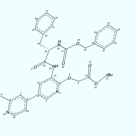 Cc1cc(-c2cnc(OCC(=O)OC(C)(C)C)c(NC(=O)[C@H](Cc3ccccc3)NC(=O)OCc3ccccc3)c2)ccn1